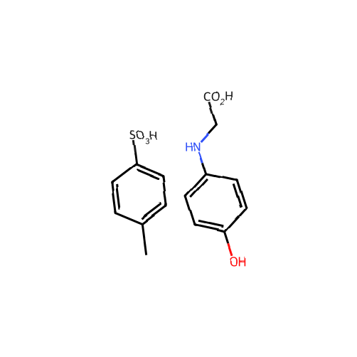 Cc1ccc(S(=O)(=O)O)cc1.O=C(O)CNc1ccc(O)cc1